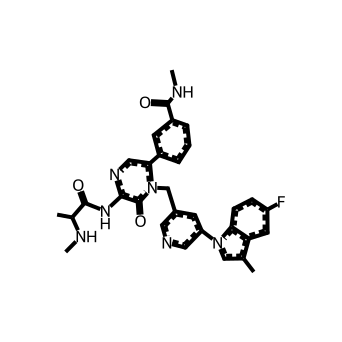 CNC(=O)c1cccc(-c2cnc(NC(=O)C(C)NC)c(=O)n2Cc2cncc(-n3cc(C)c4cc(F)ccc43)c2)c1